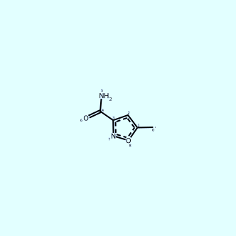 [CH2]c1cc(C(N)=O)no1